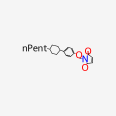 CCCCCC1CCC(c2ccc(OCN3C(=O)C=CC3=O)cc2)CC1